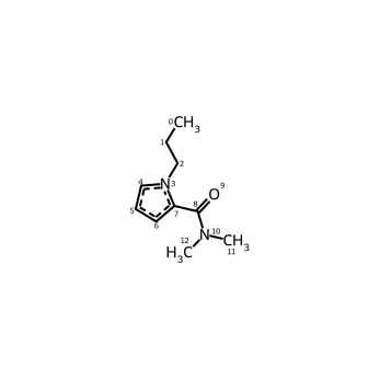 CCCn1cccc1C(=O)N(C)C